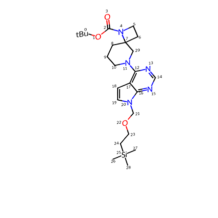 CC(C)(C)OC(=O)N1CCC12CCCN(c1ncnc3c1ccn3COCC[Si](C)(C)C)C2